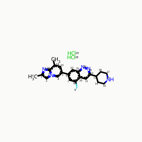 Cc1cn2cc(-c3cc(F)c4cc(C5CCNCC5)nnc4c3)cc(C)c2n1.Cl.Cl